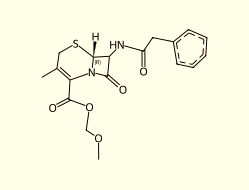 COCOC(=O)C1=C(C)CS[C@@H]2C(NC(=O)Cc3ccccc3)C(=O)N12